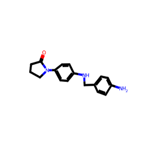 Nc1ccc(CNc2ccc(N3CCCC3=O)cc2)cc1